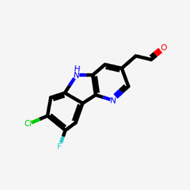 O=CCc1cnc2c(c1)[nH]c1cc(Cl)c(F)cc12